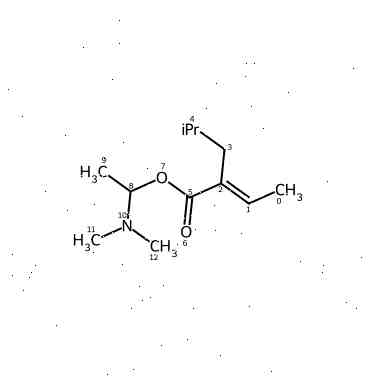 C/C=C(\CC(C)C)C(=O)OC(C)N(C)C